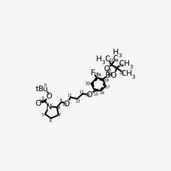 CC(C)(C)OC(=O)N1CCCC1COCCCOc1ccc(B2OC(C)(C)C(C)(C)O2)c(F)c1